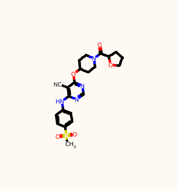 CS(=O)(=O)c1ccc(Nc2ncnc(OC3CCN(C(=O)C4CCCO4)CC3)c2C#N)cc1